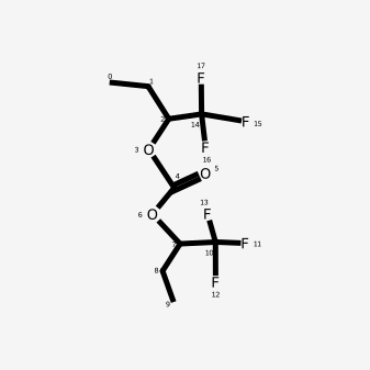 CCC(OC(=O)OC(CC)C(F)(F)F)C(F)(F)F